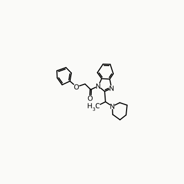 CC(c1nc2ccccc2n1C(=O)COc1ccccc1)N1CCCCC1